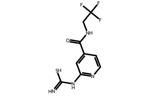 N=C(S)Nc1cc(C(=O)NCC(F)(F)F)ccn1